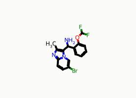 Cc1nc2ccc(Br)cn2c1C(N)c1ccccc1OC(F)F